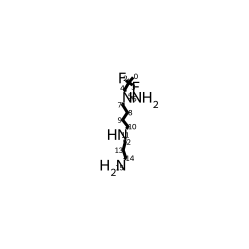 CC(F)(F)CN(N)CCCCNCCCN